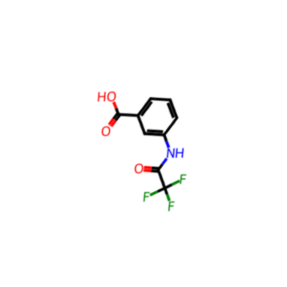 O=C(O)c1cccc(NC(=O)C(F)(F)F)c1